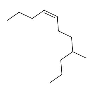 CCC/C=C\CCC(C)CCC